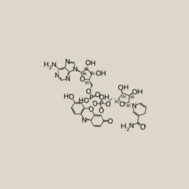 NC(=O)C1=CN([C@@H]2O[C@H](COP(=O)(O)OP(=O)(O)OC[C@H]3O[C@@H](n4cnc5c(N)ncnc54)[C@H](O)[C@@H]3O)[C@@H](O)[C@H]2O)C=CC1.O=c1ccc2nc3ccc(O)cc3oc-2c1